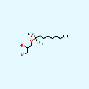 CCCCCCCC(C)(C)OCC(O)CO